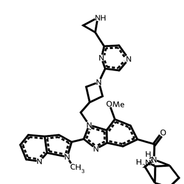 COc1cc(C(=O)N2CC3CCC2[C@@H]3N)cc2nc(-c3cc4cccnc4n3C)n(CC3CN(c4cncc(C5CN5)n4)C3)c12